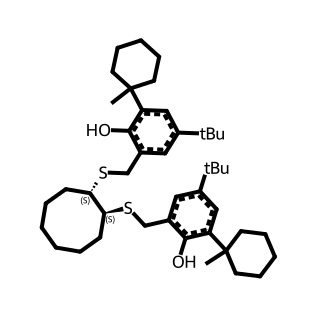 CC(C)(C)c1cc(CS[C@H]2CCCCCC[C@@H]2SCc2cc(C(C)(C)C)cc(C3(C)CCCCC3)c2O)c(O)c(C2(C)CCCCC2)c1